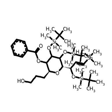 CC(C)(C)[Si](C)(C)OC1C(O[Si](C)(C)C(C)(C)C)[C@H](C(/C=C/[Si](C)(C)C)O[Si](C)(C)C(C)(C)C)O[C@@H](CCCO)C1OC(=O)c1ccccc1